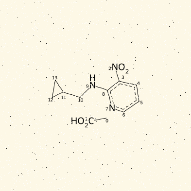 CC(=O)O.O=[N+]([O-])c1cccnc1NCC1CC1